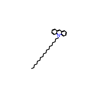 CCCCCCCCCCCCCCCCCC[n+]1c2ccccc2cc2ccccc21